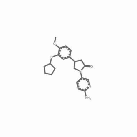 COc1ccc(C2CC(=O)N(c3ccc(N)nc3)C2)cc1OC1CCCC1